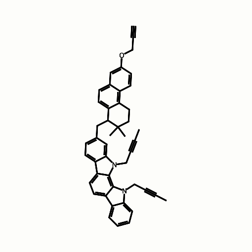 C#CCOc1ccc2c3c(ccc2c1)C(Cc1ccc2c4ccc5c6ccccc6n(CC#CC)c5c4n(CC#CC)c2c1)C(C)(C)CC3